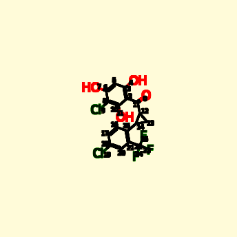 O=C(c1c(O)cc(O)c(Cl)c1O)C1CC1c1ccc(Cl)cc1C(F)(F)F